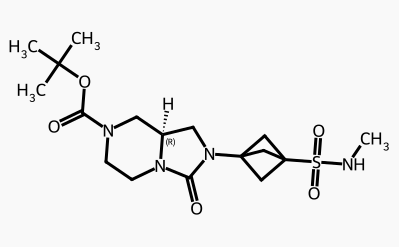 CNS(=O)(=O)C12CC(N3C[C@@H]4CN(C(=O)OC(C)(C)C)CCN4C3=O)(C1)C2